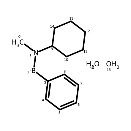 CN([B]c1ccccc1)C1CCCCC1.O.O